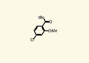 COc1cc(Cl)ccc1C(=O)C(C)(C)C